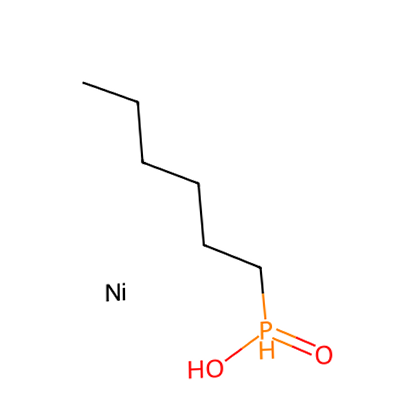 CCCCCC[PH](=O)O.[Ni]